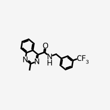 Cc1nc(C(=O)NCc2cccc(C(F)(F)F)c2)c2ccccc2n1